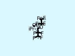 CC(C)O.FC(F)C(F)(F)COC(F)(F)C(F)F